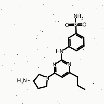 CCCc1cc(N2CC[C@H](N)C2)nc(Nc2cccc(S(N)(=O)=O)c2)n1